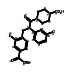 COC(=O)c1ccc(CN(C(=O)N2CCN(C(=O)O)CC2)c2cccc(Cl)c2)c(F)c1